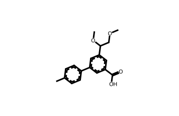 COCC(OC)c1cc(C(=O)O)cc(-c2ccc(C)cc2)c1